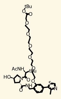 CC(=O)N[C@H](C(=O)N1C[C@H](O)C[C@H]1C(=O)NCc1ccc(-c2scnc2C)cc1OCCOCCOCCOCCOCCOCC(=O)OC(C)(C)C)C(C)(C)C